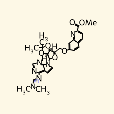 COC(=O)c1ccc2ccc(OC[C@H]3OC(n4ccc5c(/N=C/N(C)C)ncnc54)[C@@H]4OC(C)(C)O[C@H]34)cc2n1